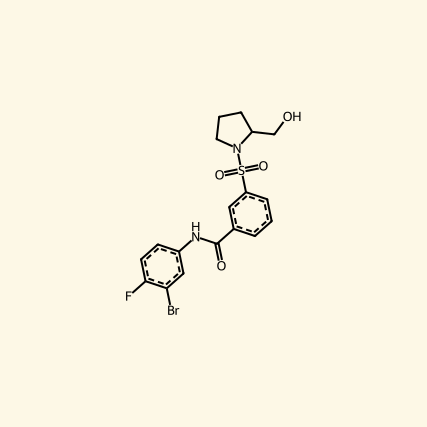 O=C(Nc1ccc(F)c(Br)c1)c1cccc(S(=O)(=O)N2CCCC2CO)c1